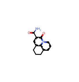 NC(=O)c1cc2c3c(cccn3c1=O)CCC2